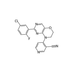 N#Cc1cnccc1N1CCOc2cnc(-c3cc(Cl)ccc3F)nc21